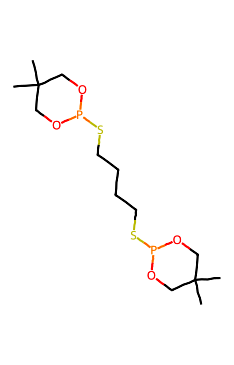 CC1(C)COP(SCCCCSP2OCC(C)(C)CO2)OC1